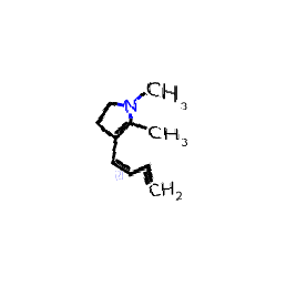 C=C/C=C\C1=C(C)N(C)CC1